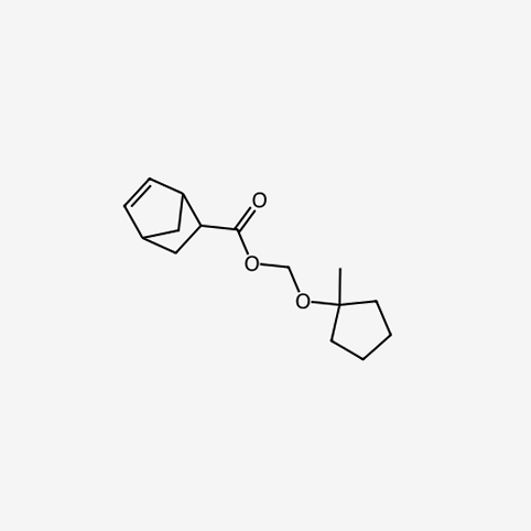 CC1(OCOC(=O)C2CC3C=CC2C3)CCCC1